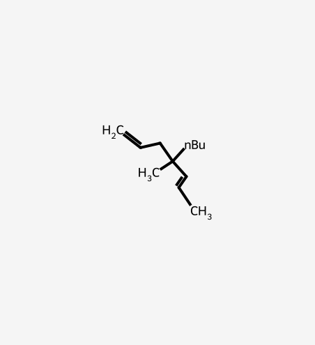 C=CCC(C)(C=CC)CCCC